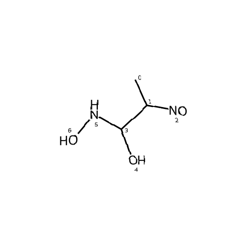 CC(N=O)C(O)NO